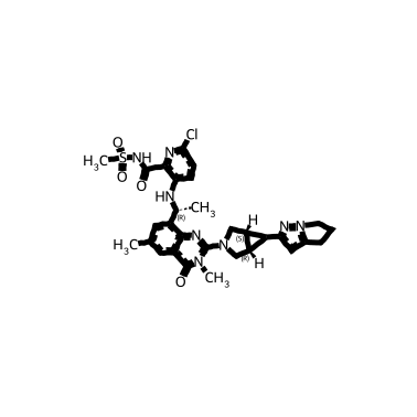 Cc1cc([C@@H](C)Nc2ccc(Cl)nc2C(=O)NS(C)(=O)=O)c2nc(N3C[C@@H]4C(c5cc6n(n5)CCC6)[C@@H]4C3)n(C)c(=O)c2c1